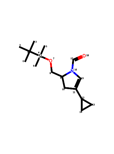 CC(C)(C)[Si](C)(C)OCC1CC(C2CC2)=CN1C=O